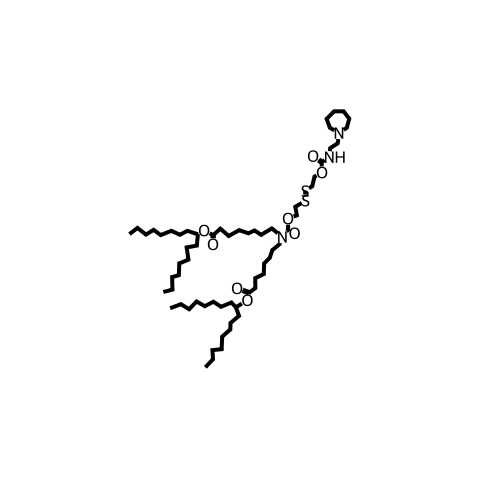 CCCCCCCCC(CCCCCCCC)OC(=O)CCCCCCCN(CCCCCCCC(=O)OC(CCCCCCCC)CCCCCCCC)C(=O)OCCSSCCOC(=O)NCCN1CCCCCC1